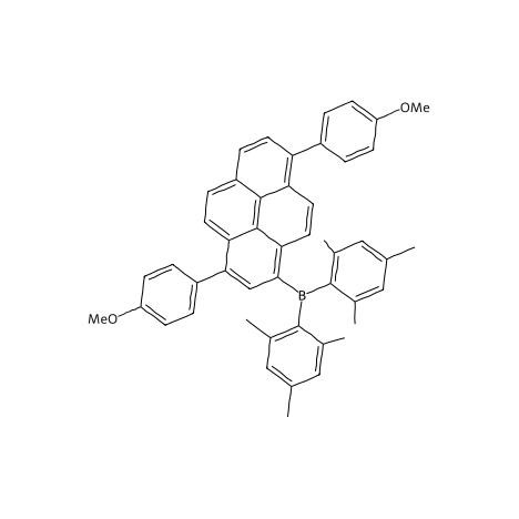 COc1ccc(-c2ccc3ccc4c(-c5ccc(OC)cc5)cc(B(c5c(C)cc(C)cc5C)c5c(C)cc(C)cc5C)c5ccc2c3c54)cc1